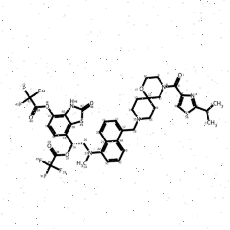 CC(C)c1nc(C(=O)N2CCOC3(CCN(Cc4cccc5c(N(C)C[C@H](OC(=O)C(F)(F)F)c6ccc(OC(=O)C(F)(F)F)c7[nH]c(=O)sc67)cccc45)CC3)C2)cs1